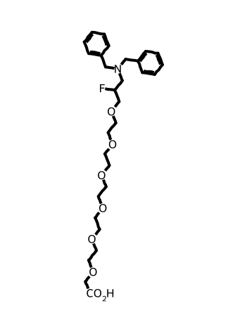 O=C(O)COCCOCCOCCOCCOCCOCC(F)CN(Cc1ccccc1)Cc1ccccc1